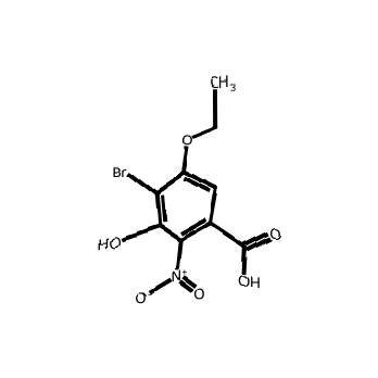 CCOc1cc(C(=O)O)c([N+](=O)[O-])c(O)c1Br